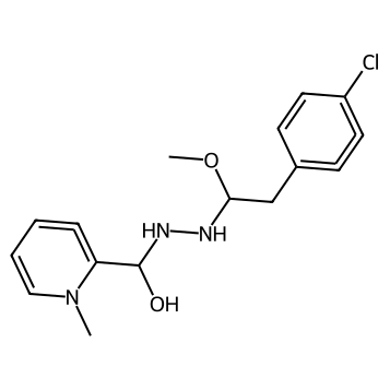 COC(CC1=C=C=C(Cl)C=C1)NNC(O)C1=C=CC=CN1C